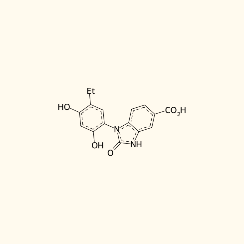 CCc1cc(-n2c(=O)[nH]c3cc(C(=O)O)ccc32)c(O)cc1O